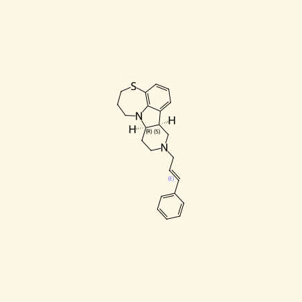 C(=C\c1ccccc1)/CN1CC[C@@H]2[C@H](C1)c1cccc3c1N2CCCS3